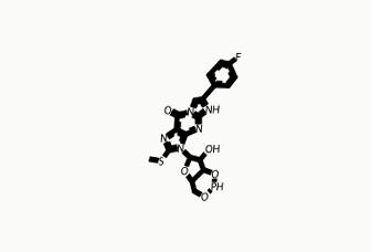 CSc1nc2c(=O)n3cc(-c4ccc(F)cc4)[nH]c3nc2n1C1OC2COPOC2C1O